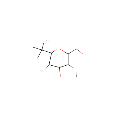 COC(C)(C)C1OC(CO)C(OC(C)C)C(O)C1NC(C)=O